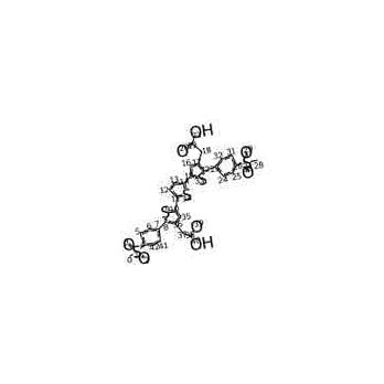 CS(=O)(=O)c1ccc(-c2sc(-c3ccc(-c4cc(CC(=O)O)c(-c5ccc(S(C)(=O)=O)cc5)s4)s3)cc2CC(=O)O)cc1